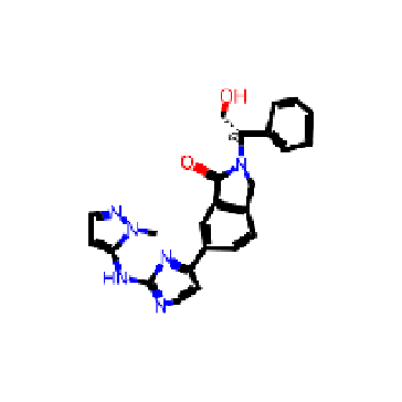 Cn1nccc1Nc1nccc(-c2ccc3c(c2)C(=O)N([C@H](CO)c2ccccc2)C3)n1